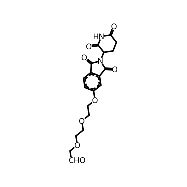 O=CCOCCOCCOc1ccc2c(c1)C(=O)N(C1CCC(=O)NC1=O)C2=O